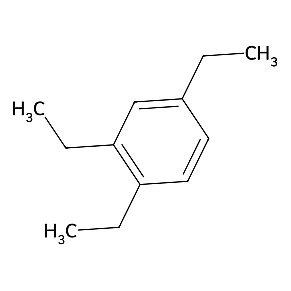 CCc1ccc(CC)c(CC)c1